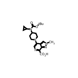 Cn1cc2c(N3CCC(N(C(=O)OC(C)(C)C)C4CC4)CC3)cnc(C(=O)O)c2n1